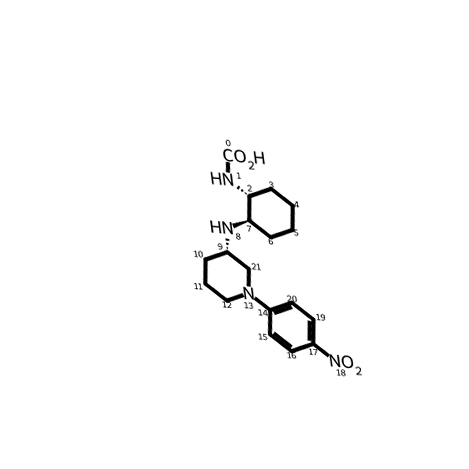 O=C(O)N[C@@H]1CCCC[C@H]1N[C@H]1CCCN(c2ccc([N+](=O)[O-])cc2)C1